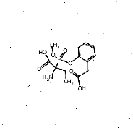 CCC(N)(C(=O)O)P(=O)(OC)Oc1ccccc1CC(=O)O